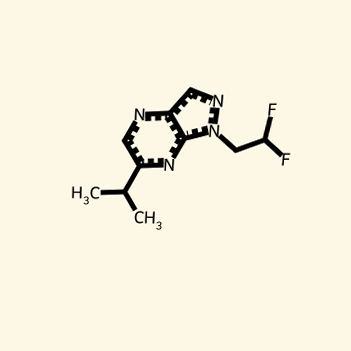 CC(C)c1cnc2cnn(CC(F)F)c2n1